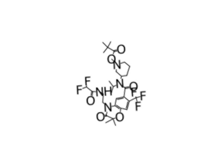 CC(C)N(C(=O)c1cc2c(cc1C(F)(F)F)OC(C)(C)C(=O)N2CCNC(=O)C(F)F)C1CCCN(OC(=O)C(C)(C)C)C1